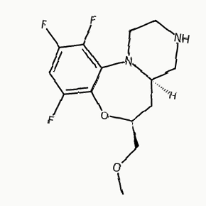 COC[C@@H]1C[C@@H]2CNCCN2c2c(F)c(F)cc(F)c2O1